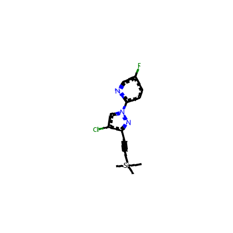 C[Si](C)(C)C#Cc1nn(-c2ccc(F)cn2)cc1Cl